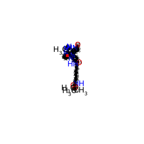 Cn1cncc1-c1cc(-c2nc3cc(C(=O)NCCCCCCCCCCNC(=O)OC(C)(C)C)ccc3n2-c2ccc3c(c2)CCC(=O)N3)c2ccccc2n1